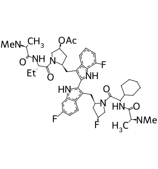 CC[C@H](NC(=O)[C@H](C)NC)C(=O)N1C[C@@H](OC(C)=O)C[C@H]1Cc1c(-c2[nH]c3cc(F)ccc3c2C[C@@H]2C[C@H](F)CN2C(=O)[C@@H](NC(=O)[C@H](C)NC)C2CCCCC2)[nH]c2c(F)cccc12